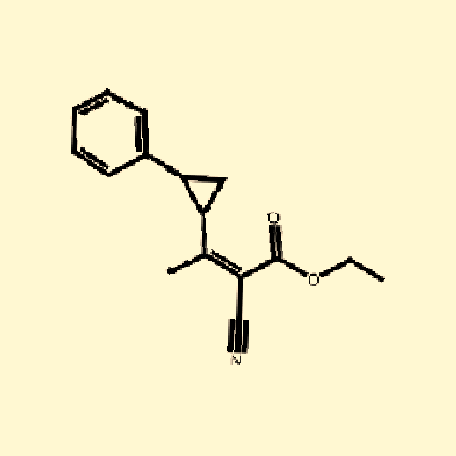 CCOC(=O)C(C#N)=C(C)C1CC1c1ccccc1